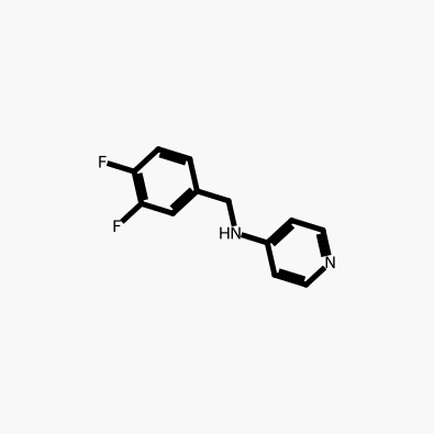 Fc1ccc(CNc2ccncc2)cc1F